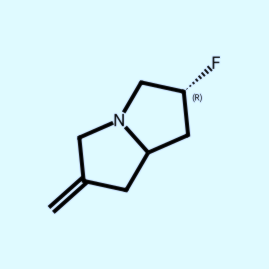 C=C1CC2C[C@@H](F)CN2C1